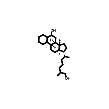 CC(CO)CCCC(C)[C@H]1CC[C@H]2[C@@H]3C[C@H](O)C4CCCC[C@]4(C)[C@H]3CC[C@]12C